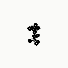 c1ccc(-c2nc(-c3cccc4ccccc34)cc(-c3ccc(-c4ccc5c(c4)-c4c(ccc6ccccc46)C5(c4ccccc4)c4ccccc4)c4ccccc34)n2)cc1